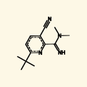 CN(C)C(=N)c1nc(C(C)(C)C)ccc1C#N